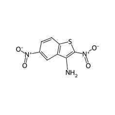 Nc1c([N+](=O)[O-])sc2ccc([N+](=O)[O-])cc12